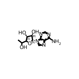 CC(O)C1O[C@@H](n2cnc3c(N)ncnc32)[C@H](O)[C@@H]1O